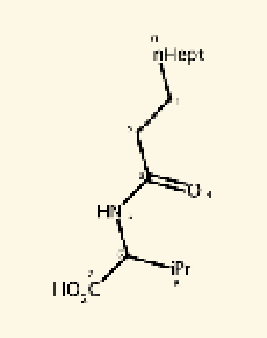 CCCCCCCCCC(=O)NC(C(=O)O)C(C)C